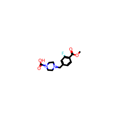 COC(=O)c1ccc(CN2CCN(C(=O)O)CC2)cc1F